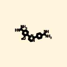 COc1cc(C(=N)N)ccc1-c1ccnc(-c2ccc(C(=N)N)cc2)n1